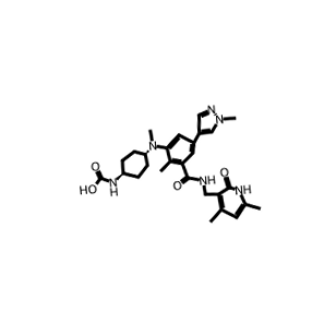 Cc1cc(C)c(CNC(=O)c2cc(-c3cnn(C)c3)cc(N(C)[C@H]3CC[C@H](NC(=O)O)CC3)c2C)c(=O)[nH]1